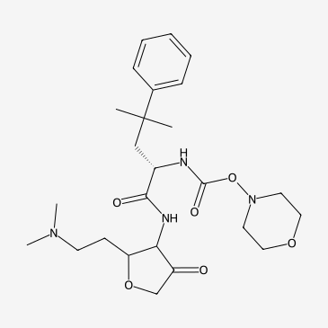 CN(C)CCC1OCC(=O)C1NC(=O)[C@H](CC(C)(C)c1ccccc1)NC(=O)ON1CCOCC1